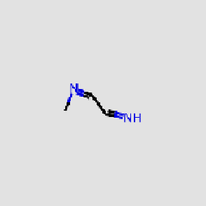 C/N=C\C=N